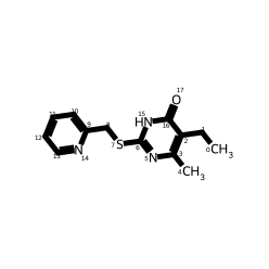 CCc1c(C)nc(SCc2ccccn2)[nH]c1=O